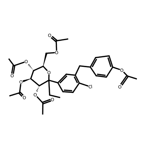 CCC1(c2ccc(Cl)c(Cc3ccc(OC(C)=O)cc3)c2)O[C@H](COC(C)=O)[C@@H](OC(C)=O)[C@H](OC(C)=O)[C@H]1OC(C)=O